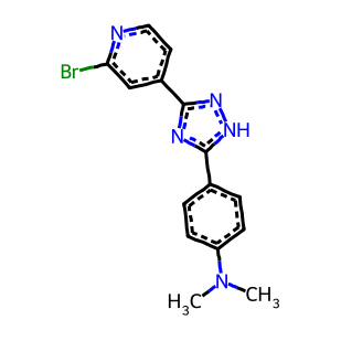 CN(C)c1ccc(-c2nc(-c3ccnc(Br)c3)n[nH]2)cc1